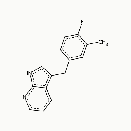 Cc1cc(Cc2c[nH]c3ncccc23)ccc1F